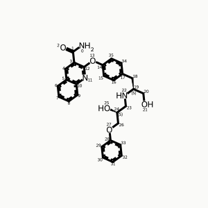 NC(=O)c1cc2ccccc2nc1Oc1ccc(C[C@@H](CO)NC[C@H](O)COc2ccccc2)cc1